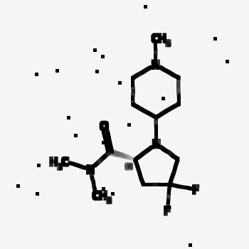 CN1CCC(N2CC(F)(F)C[C@@H]2C(=O)N(C)C)CC1